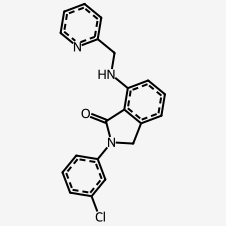 O=C1c2c(cccc2NCc2ccccn2)CN1c1cccc(Cl)c1